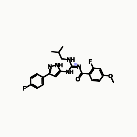 COc1ccc(C(=O)/N=C(/NCC(C)C)Nc2cc(-c3ccc(F)cc3)n[nH]2)c(F)c1